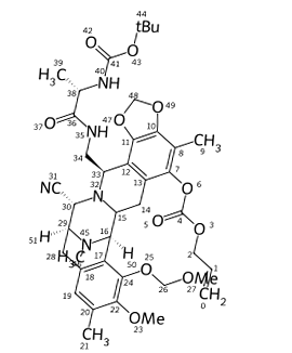 C=CCOC(=O)Oc1c(C)c2c(c3c1CC1[C@H]4c5c(cc(C)c(OC)c5OCOC)C[C@@H]([C@H](C#N)N1[C@H]3CNC(=O)[C@H](C)NC(=O)OC(C)(C)C)N4C)OCO2